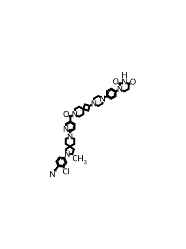 CC1CC2(CCN(c3ccc(C(=O)N4CCC5(CC4)CC(N4CCN(c6ccc(N7CCC(=O)NC7=O)cc6)CC4)C5)cn3)CC2)CN1c1ccc(C#N)c(Cl)c1